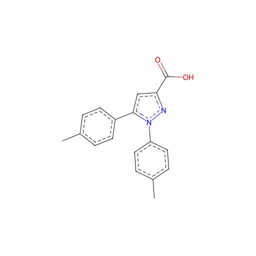 Cc1ccc(-c2cc(C(=O)O)nn2-c2ccc(C)cc2)cc1